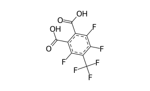 O=C(O)c1c(F)c(F)c(C(F)(F)F)c(F)c1C(=O)O